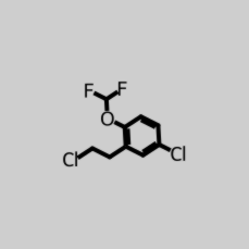 FC(F)Oc1ccc(Cl)cc1CCCl